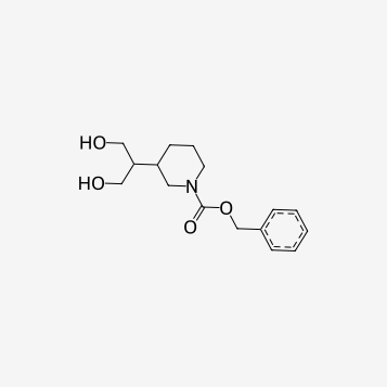 O=C(OCc1ccccc1)N1CCCC(C(CO)CO)C1